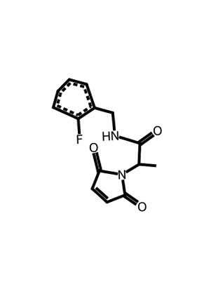 CC(C(=O)NCc1ccccc1F)N1C(=O)C=CC1=O